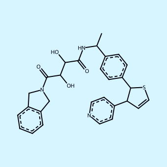 CC(NC(=O)C(O)C(O)C(=O)N1Cc2ccccc2C1)c1ccc(C2SC=CC2c2ccncc2)cc1